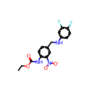 CCOC(=O)Nc1ccc(CNc2ccc(F)c(F)c2)cc1[N+](=O)[O-]